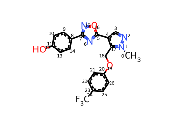 Cn1ncc(-c2nc(-c3ccc(O)cc3)no2)c1COc1ccc(C(F)(F)F)cc1